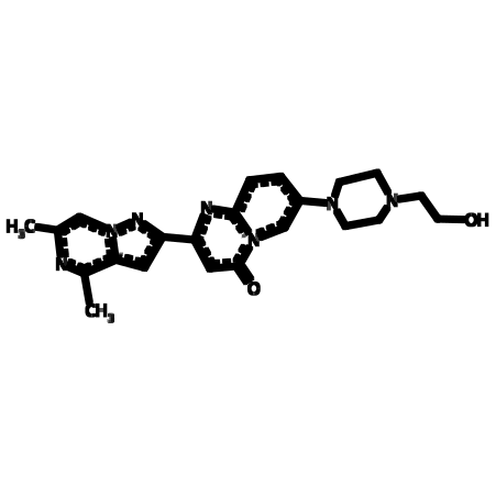 Cc1cn2nc(-c3cc(=O)n4cc(N5CCN(CCO)CC5)ccc4n3)cc2c(C)n1